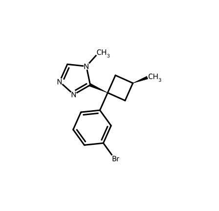 Cn1cnnc1[C@]1(c2cccc(Br)c2)C[C@H](C)C1